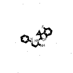 N=C(/C=C\Nc1ccccc1)NC(=O)C1(c2c(F)cccc2F)CC1